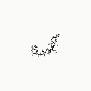 CC(C)(C)c1ncc(CN2CC3(C2)CN(C(=O)N2CC4(CCC(=O)N4)C2)C3)s1